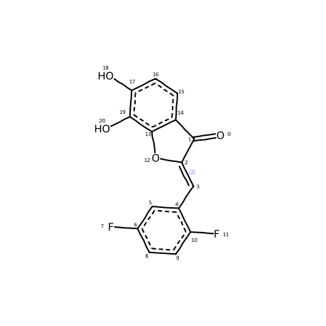 O=C1/C(=C/c2cc(F)ccc2F)Oc2c1ccc(O)c2O